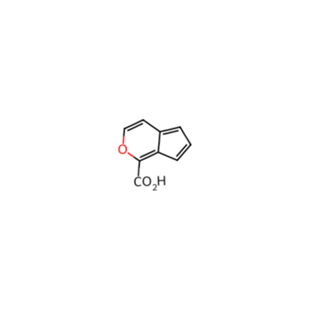 O=C(O)c1occc2cccc1-2